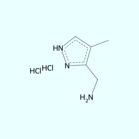 Cc1c[nH]nc1CN.Cl.Cl